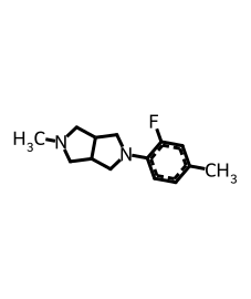 Cc1ccc(N2CC3CN(C)CC3C2)c(F)c1